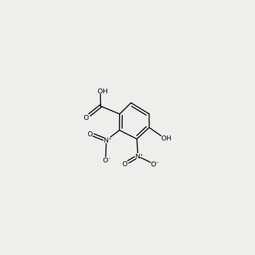 O=C(O)c1ccc(O)c([N+](=O)[O-])c1[N+](=O)[O-]